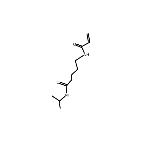 C=CC(=O)NCCCCC(=O)NC(C)C